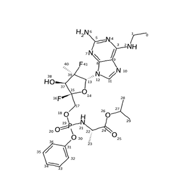 CCNc1nc(N)nc2c1ncn2[C@@H]1O[C@](F)(COP(=O)(N[C@@H](C)C(=O)OC(C)C)Oc2ccccc2)[C@@H](O)[C@@]1(C)F